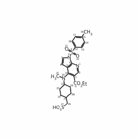 CCOC(=O)c1cnc2c(ccn2S(=O)(=O)c2ccc(C)cc2)c1N(C)C1CCC(CS(=O)(=O)O)CC1